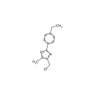 CCc1ccc(-c2nc(CCl)c(C)o2)cc1